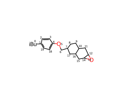 CCC(C)c1ccc(OCC2CCC3CC4OC4CC3C2)cc1